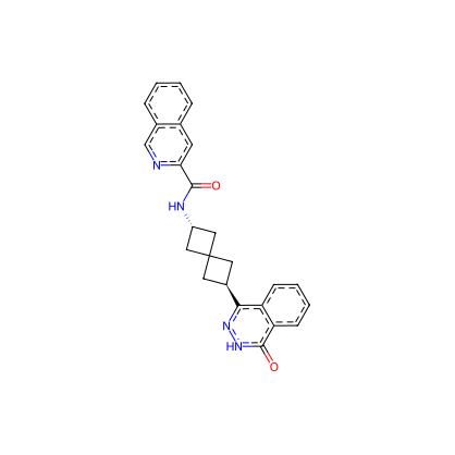 O=C(N[C@H]1CC2(C1)C[C@H](c1n[nH]c(=O)c3ccccc31)C2)c1cc2ccccc2cn1